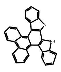 c1ccc2c(c1)[nH]c1c3sc4ccccc4c3c3c4ccccc4c4ccccc4c3c21